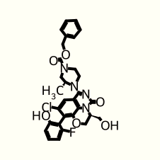 C[C@H]1CN(C(=O)OCc2ccccc2)CCN1c1nc(=O)n2c3c(c(-c4c(O)cccc4F)c(Cl)cc13)OC[C@@H]2CO